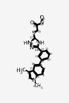 Cc1cn(C)c2ccc(-c3cccc(C4=NNC(SCC(=O)N=O)N4)c3)cc12